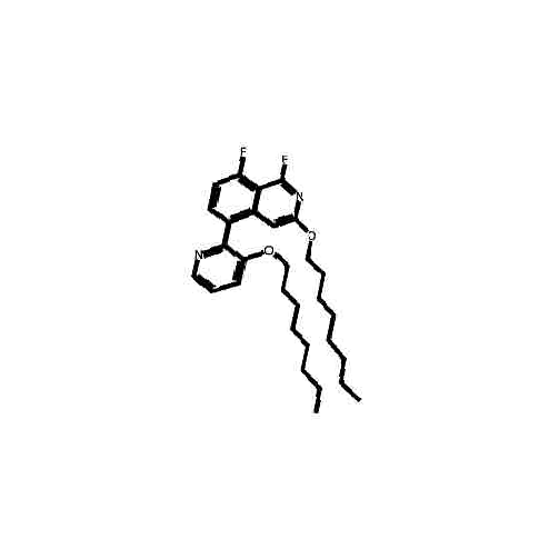 CCCCCCCCOc1cc2c(-c3ncccc3OCCCCCCCC)ccc(F)c2c(F)n1